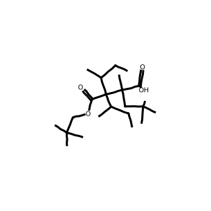 CCC(C)C(C(=O)OCC(C)(C)C)(C(C)CC)C(C)(CC(C)(C)C)C(=O)O